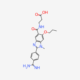 CCCOc1cc2c(cc1C(=O)NCCC(=O)O)nc(-c1ccc(C(=N)N)cc1)n2C